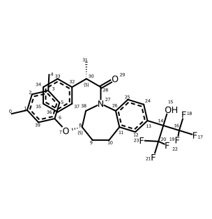 Cc1cc(C)cc(O[C@H]2CCc3cc(C(O)(C(F)(F)F)C(F)(F)F)ccc3N(C(=O)[C@@H](C)c3ccccc3)C2)c1